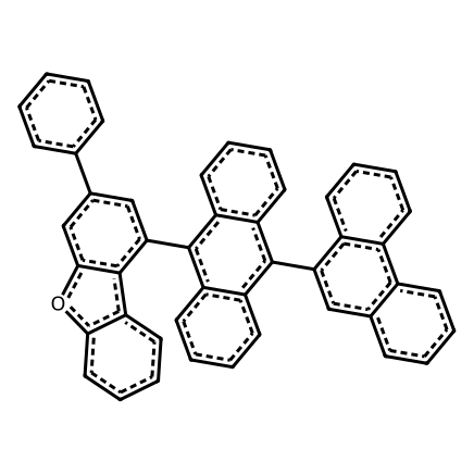 c1ccc(-c2cc(-c3c4ccccc4c(-c4cc5ccccc5c5ccccc45)c4ccccc34)c3c(c2)oc2ccccc23)cc1